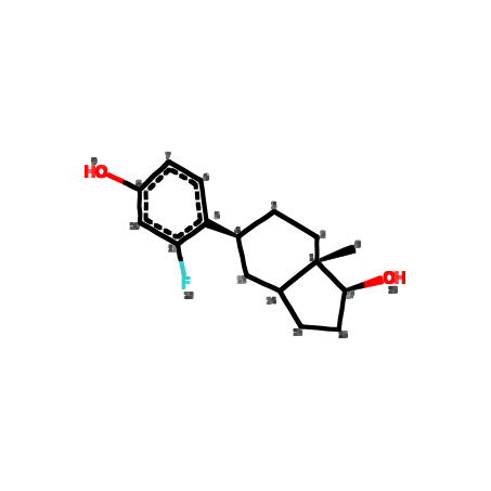 C[C@]12CC[C@H](c3ccc(O)cc3F)CC1CC[C@@H]2O